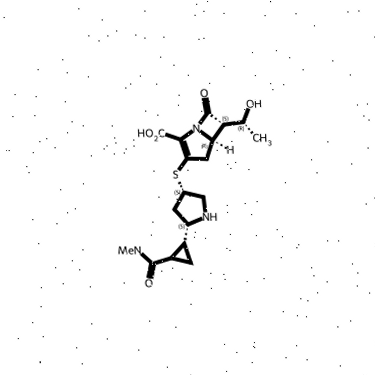 CNC(=O)C1CC1[C@@H]1C[C@H](SC2=C(C(=O)O)N3C(=O)[C@H]([C@@H](C)O)[C@H]3C2)CN1